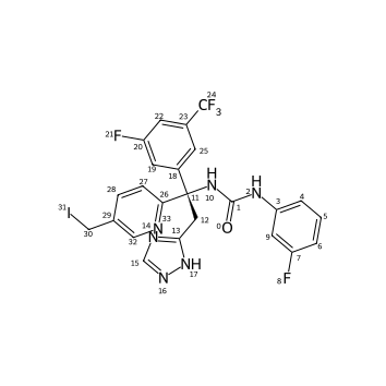 O=C(Nc1cccc(F)c1)N[C@@](Cc1ncn[nH]1)(c1cc(F)cc(C(F)(F)F)c1)c1ccc(CI)cn1